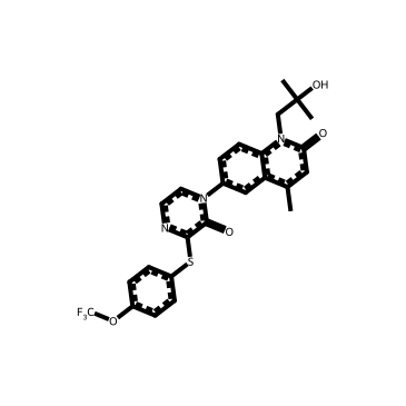 Cc1cc(=O)n(CC(C)(C)O)c2ccc(-n3ccnc(Sc4ccc(OC(F)(F)F)cc4)c3=O)cc12